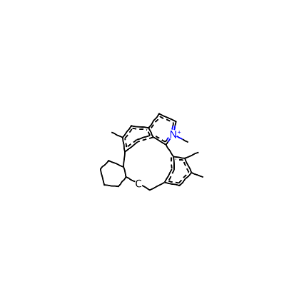 Cc1cc2cc[n+](C)c3c2cc1C1CCCCC1CCc1cc(C)c(C)c-3c1